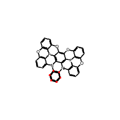 c1ccc(-n2c3cccc4oc5cccc6oc7c8oc9cccc%10oc%11cccc%12c%11p(c%109)c8c(c2c7p(c56)c43)n%12-c2ccccc2)cc1